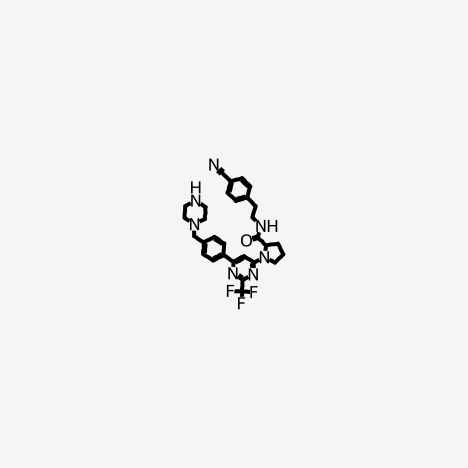 N#Cc1ccc(CCNC(=O)C2CCCN2c2cc(-c3ccc(CN4CCNCC4)cc3)nc(C(F)(F)F)n2)cc1